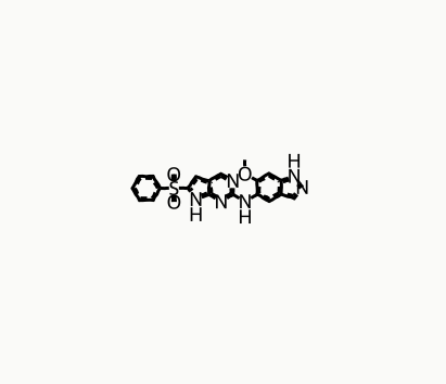 COc1cc2[nH]ncc2cc1Nc1ncc2cc(S(=O)(=O)c3ccccc3)[nH]c2n1